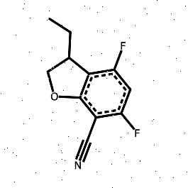 CCC1COc2c(C#N)c(F)cc(F)c21